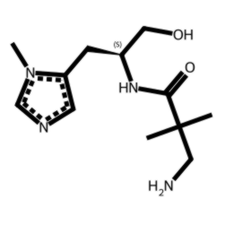 Cn1cncc1C[C@@H](CO)NC(=O)C(C)(C)CN